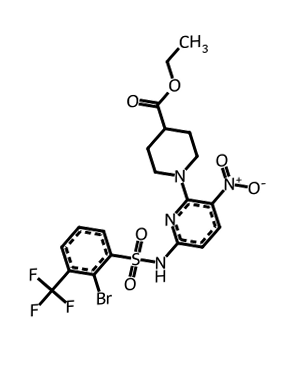 CCOC(=O)C1CCN(c2nc(NS(=O)(=O)c3cccc(C(F)(F)F)c3Br)ccc2[N+](=O)[O-])CC1